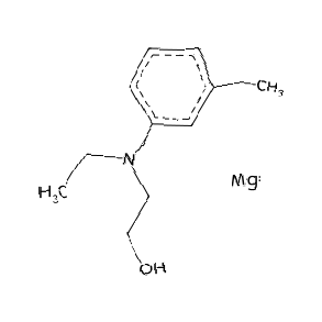 CCN(CCO)c1cccc(C)c1.[Mg]